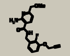 C#CCOc1cccc(CNC(=O)c2ccc(COC)nc2N)c1F